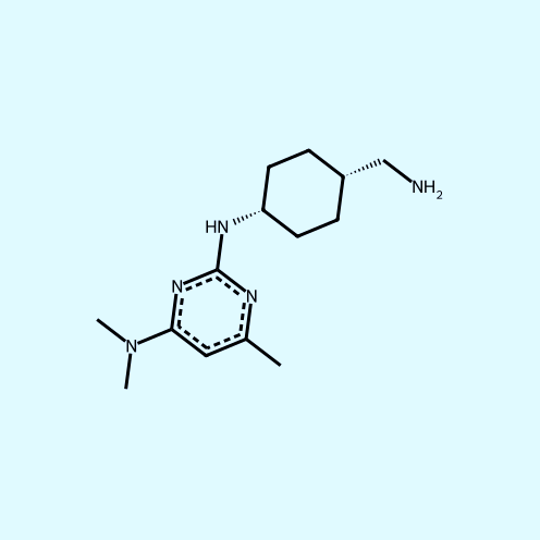 Cc1cc(N(C)C)nc(N[C@H]2CC[C@@H](CN)CC2)n1